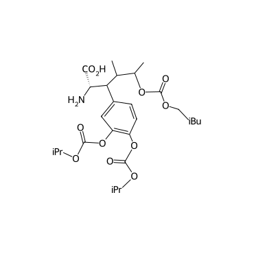 CCC(C)COC(=O)OC(C)C(C)C(c1ccc(OC(=O)OC(C)C)c(OC(=O)OC(C)C)c1)[C@H](N)C(=O)O